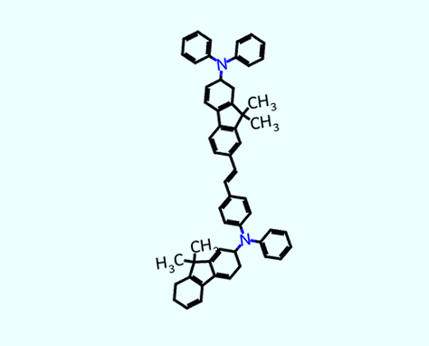 CC1(C)C2=CC(N(c3ccccc3)c3ccc(/C=C/c4ccc5c(c4)C(C)(C)C4=C5C=CC(N(c5ccccc5)c5ccccc5)C4)cc3)CC=C2C2=C1CCC=C2